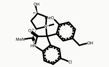 CNC(=O)[C@@H]1C[C@@H](O)C[N+]1(C)C1(c2cc(CO)ccc2OC)C(=O)Nc2ccc(Cl)cc21